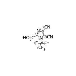 N#Cc1nc(C(=O)O)n(C(F)(F)C(F)(F)F)c1C#N